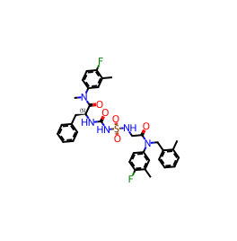 Cc1cc(N(C)C(=O)[C@H](Cc2ccccc2)NC(=O)NS(=O)(=O)NCC(=O)N(Cc2ccccc2C)c2ccc(F)c(C)c2)ccc1F